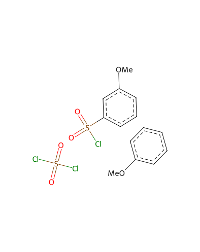 COc1cccc(S(=O)(=O)Cl)c1.COc1ccccc1.O=S(=O)(Cl)Cl